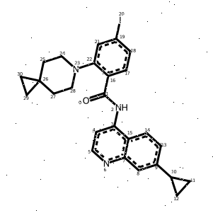 O=C(Nc1ccnc2cc(C3CC3)ccc12)c1ccc(I)cc1N1CCC2(CC1)CC2